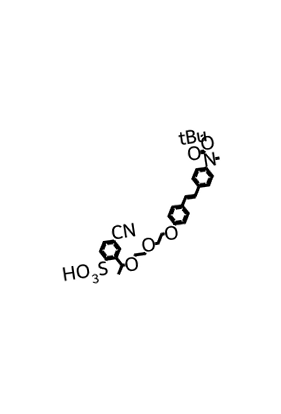 CC(OCCOCCOc1ccc(/C=C/c2ccc(N(C)C(=O)OC(C)(C)C)cc2)cc1)c1cc(C#N)ccc1S(=O)(=O)O